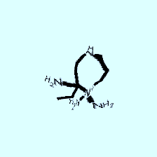 CCC1(N)CNCC[N+]1(N)N